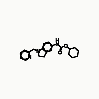 O=C(Nc1ccc2c(c1)CCN2Cc1ccccn1)OC1CCCCC1